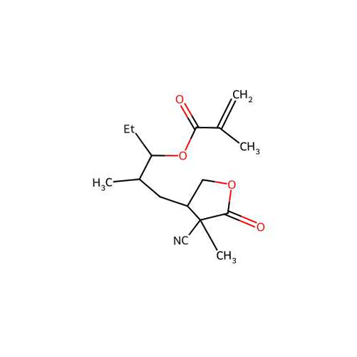 C=C(C)C(=O)OC(CC)C(C)CC1COC(=O)C1(C)C#N